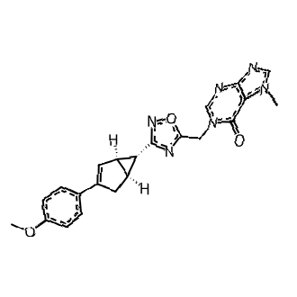 COc1ccc(C2=C[C@@H]3[C@H](C2)[C@H]3c2noc(Cn3cnc4ncn(C)c4c3=O)n2)cc1